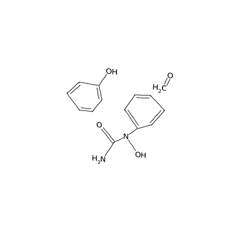 C=O.NC(=O)N(O)c1ccccc1.Oc1ccccc1